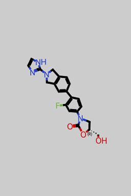 O=C1O[C@@H](CO)CN1c1ccc(-c2ccc3c(c2)CN(c2ncc[nH]2)C3)c(F)c1